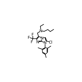 CCCCN(CC)Cc1c(C(F)(F)F)nc2n(-c3c(C)cc(C)cc3C)c(Cl)cn12